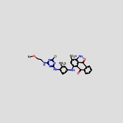 CCOCCNc1nc(Cl)nc(Nc2ccc(Nc3cc(S(=O)(=O)O)c(N)c4c3C(=O)c3ccccc3C4=O)cc2S(=O)(=O)O)n1